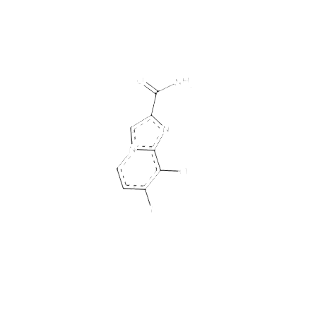 NC(=O)c1cn2ccc(I)c(Cl)c2n1